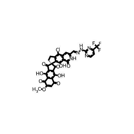 COC1=CC(=O)c2c(O)c3c(c(O)c2C1=O)C(=O)[C@]1(CCc2c1c(O)c1c(=O)[nH]c(C=NNc4nccc(C(F)(F)F)n4)cc1c2Cl)C3=O